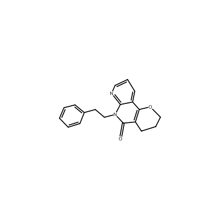 O=c1c2c(c3cccnc3n1CCc1ccccc1)OCCC2